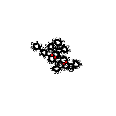 c1ccc(-c2ccc(-c3ccc(N(c4ccccc4-c4ccc5c(c4)oc4ccccc45)c4ccccc4-c4cccc5c4-c4ccccc4C5(c4ccccc4)c4ccccc4)cc3)cc2)cc1